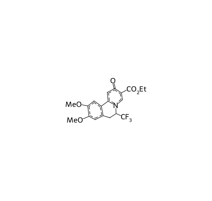 CCOC(=O)c1cn2c(cc1=O)-c1cc(OC)c(OC)cc1CC2C(F)(F)F